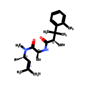 CN[C@H](C(=O)N[C@H](C(=O)N(C)[C@H](/C=C(\C)C(=O)O)C(C)C)C(C)(C)C)C(C)(C)c1ccccc1C